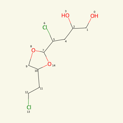 OCC(O)CC(Cl)C1OCC(CCCl)O1